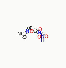 N#Cc1ccccc1C1CN(C2CCCCC2Oc2ccc3c(c2)CN(C2CCC(=O)NC2=O)C3=O)C1